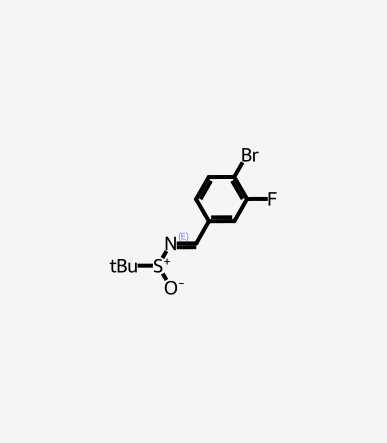 CC(C)(C)[S+]([O-])/N=C/c1ccc(Br)c(F)c1